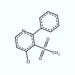 CS(=O)(=O)c1c(Cl)ccnc1-c1ccccc1